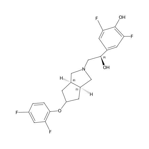 Oc1c(F)cc([C@@H](O)CN2C[C@H]3CC(Oc4ccc(F)cc4F)C[C@H]3C2)cc1F